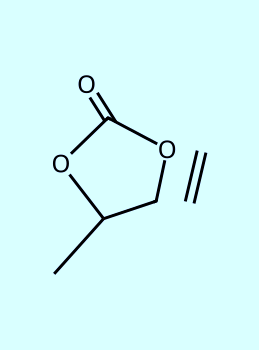 C=C.CC1COC(=O)O1